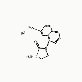 Cl.N[C@H]1CCN(c2cccc3ncc(O)cc23)C1=O